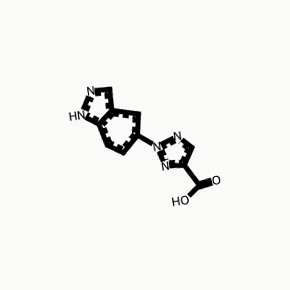 O=C(O)c1cnn(-c2ccc3[nH]ncc3c2)n1